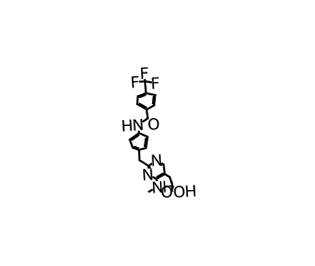 CNc1nc(Cc2ccc(NC(=O)c3ccc(C(F)(F)F)cc3)cc2)ncc1CC(=O)O